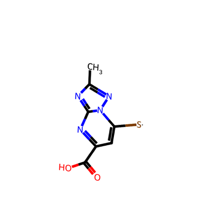 Cc1nc2nc(C(=O)O)cc([S])n2n1